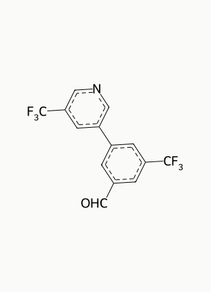 O=Cc1cc(-c2cncc(C(F)(F)F)c2)cc(C(F)(F)F)c1